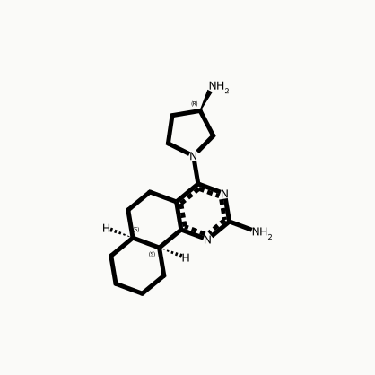 Nc1nc2c(c(N3CC[C@@H](N)C3)n1)CC[C@@H]1CCCC[C@H]21